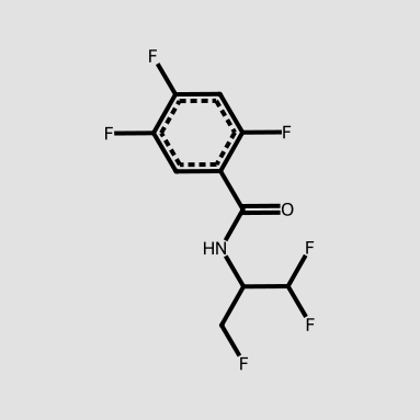 O=C(NC(CF)C(F)F)c1cc(F)c(F)cc1F